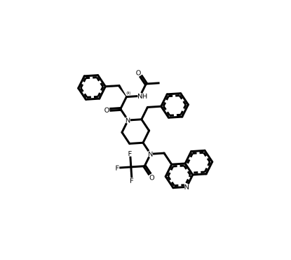 CC(=O)N[C@H](Cc1ccccc1)C(=O)N1CCC(N(Cc2ccnc3ccccc23)C(=O)C(F)(F)F)CC1Cc1ccccc1